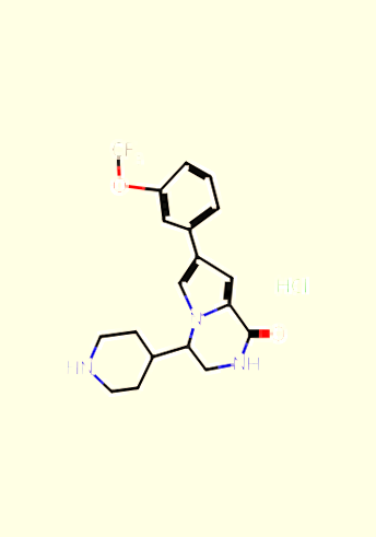 Cl.O=C1NCC(C2CCNCC2)n2cc(-c3cccc(OC(F)(F)F)c3)cc21